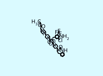 CCOC(=O)CN1CCN(C2CCN(C(=O)[C@@H](Cc3cc(Cl)c(N)c(C(F)(F)F)c3)OC(=O)N3CCC(N4CCc5ccccc5NC4=O)CC3)CC2)CC1